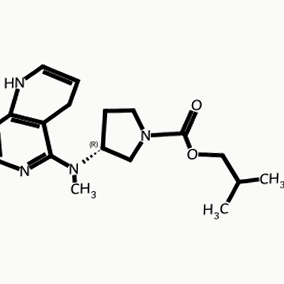 CC(C)COC(=O)N1CC[C@@H](N(C)c2ncnc3c2CC=CN3)C1